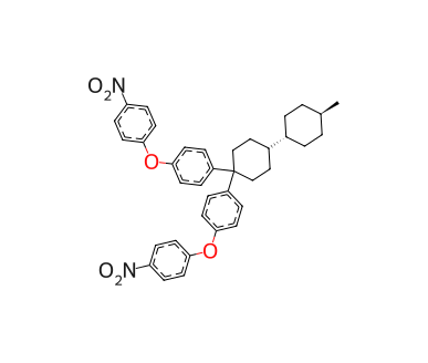 C[C@H]1CC[C@H](C2CCC(c3ccc(Oc4ccc([N+](=O)[O-])cc4)cc3)(c3ccc(Oc4ccc([N+](=O)[O-])cc4)cc3)CC2)CC1